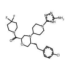 Nc1nnc(N2CCC(N3C[C@H](C(=O)N4CCC(F)(F)CC4)OC[C@@H]3CCc3ccc(Cl)cc3)CC2)[nH]1